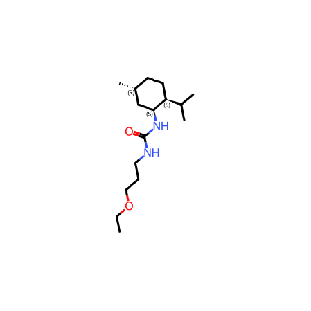 CCOCCCNC(=O)N[C@H]1C[C@H](C)CC[C@H]1C(C)C